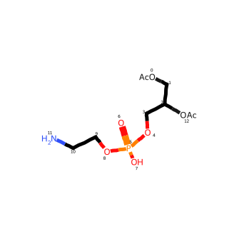 CC(=O)OCC(COP(=O)(O)OCCN)OC(C)=O